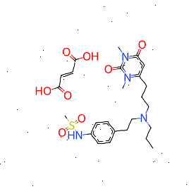 CCCN(CCCc1cc(=O)n(C)c(=O)n1C)CCc1ccc(NS(C)(=O)=O)cc1.O=C(O)/C=C/C(=O)O